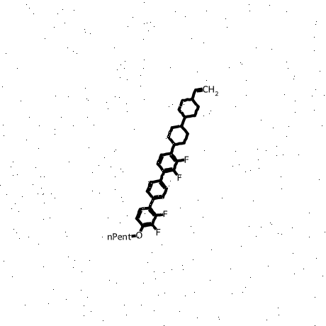 C=CC1CCC(C2CCC(c3ccc(-c4ccc(-c5ccc(OCCCCC)c(F)c5F)cc4)c(F)c3F)CC2)CC1